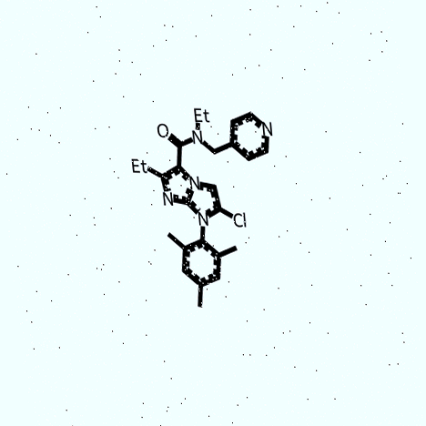 CCc1nc2n(-c3c(C)cc(C)cc3C)c(Cl)cn2c1C(=O)N(CC)Cc1ccncc1